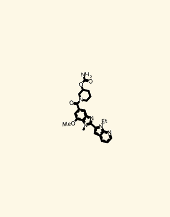 CCn1c(-c2nc3cc(C(=O)N4CCCC(OC(N)=O)C4)cc(OC)c3n2C)cc2cccnc21